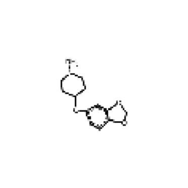 NN1CCC(Oc2ccc3c(c2)OCO3)CC1